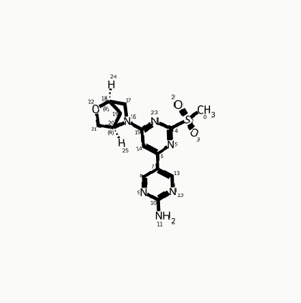 CS(=O)(=O)c1nc(-c2cnc(N)nc2)cc(N2C[C@H]3C[C@@H]2CO3)n1